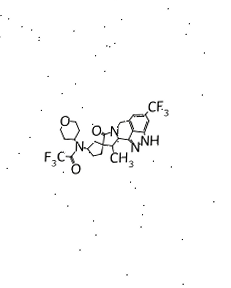 CC1C2c3n[nH]c4cc(C(F)(F)F)cc(c34)CN2C(=O)[C@]12CC[C@@H](N(C(=O)C(F)(F)F)C1CCOCC1)C2